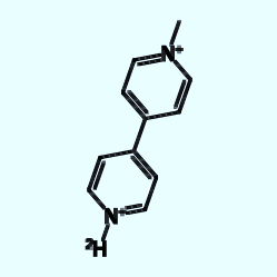 [2H][n+]1ccc(-c2cc[n+](C)cc2)cc1